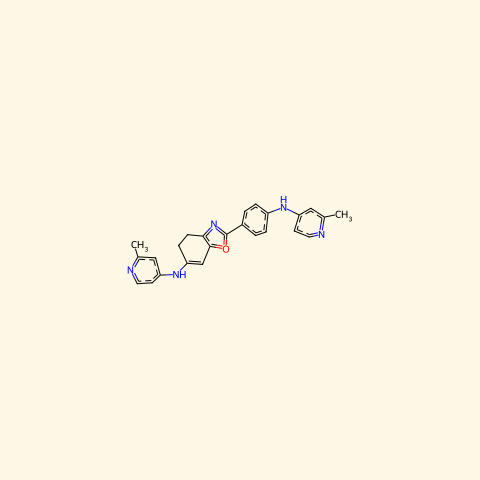 Cc1cc(NC2=Cc3oc(-c4ccc(Nc5ccnc(C)c5)cc4)nc3CC2)ccn1